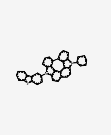 c1ccc(-n2c3cccc4c3c3c5c(ccc32)ccc2c5c3c-4cccc3n2-c2ccc3sc4ccccc4c3c2)cc1